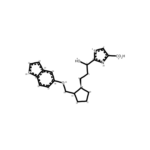 O=C(O)c1csc(C(O)CC[C@H]2CCCC2COc2ccc3sccc3c2)n1